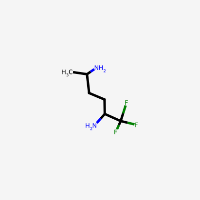 CC(N)CCC(N)C(F)(F)F